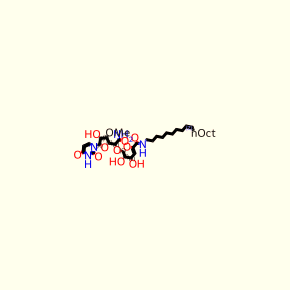 CCCCCCCC/C=C\CCCCCCCCNC(=O)C1=C[C@H](O)[C@H](O)[C@@H](O[C@@H](C(N)=O)[C@H]2O[C@@H](n3ccc(=O)[nH]c3=O)[C@H](O)[C@@H]2OC)O1